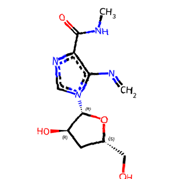 C=Nc1c(C(=O)NC)ncn1[C@@H]1O[C@H](CO)C[C@H]1O